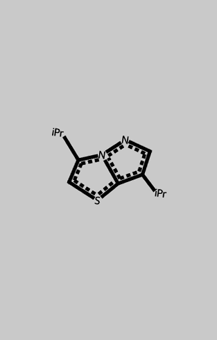 CC(C)c1cnn2c(C(C)C)csc12